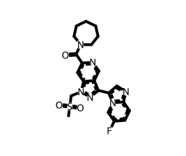 CS(=O)(=O)Cn1nc(-c2cnc3ccc(F)cn23)c2cnc(C(=O)N3CCCCCC3)cc21